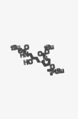 CC(C)(C)OC(=O)NCC(O)CC[C@H]1C[C@@H](O[Si](C)(C)C(C)(C)C)CN1C(=O)OC(C)(C)C